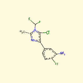 Cc1nc(-c2ccc(Cl)c(N)c2)c(Cl)n1C(F)F